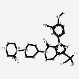 COc1ccc(-n2nc(C(F)(F)F)c3c2C(=O)N(C2CCN(N4CCOCC4=O)CC2)CC3)cc1F